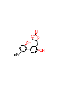 CCCc1ccc(O)c(-c2ccc(O)c(CC3COC(=O)O3)c2)c1